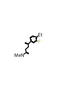 C=C(CCC(=C)c1ccc(CC)c(F)c1)NC